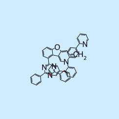 C=C/C=c1/oc2cccc(-c3nc(-c4ccccc4)nc(-c4ccccc4)n3)c2/c1=C/N(c1ccc(-c2ccccn2)cc1)c1ccccc1-c1ccccc1